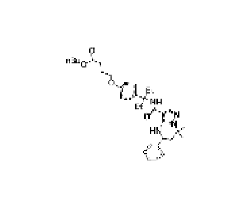 CCCCOC(=O)CCCOc1ccc(C(CC)(CC)NC(=O)c2cnn3c2NC(c2ccccc2)CC3(C)C)cc1